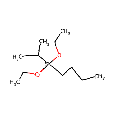 CCCC[Si](OCC)(OCC)C(C)C